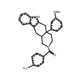 COc1cccc(C23CCN(C(=O)c4ccc(C)cc4)CC2Cc2c([nH]c4ccccc24)C3)c1